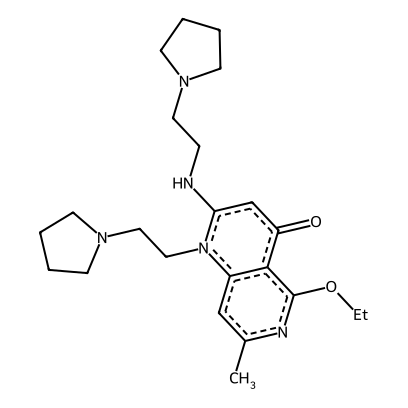 CCOc1nc(C)cc2c1c(=O)cc(NCCN1CCCC1)n2CCN1CCCC1